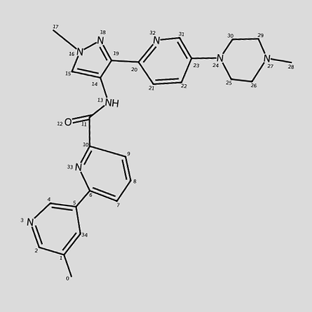 Cc1cncc(-c2cccc(C(=O)Nc3cn(C)nc3-c3ccc(N4CCN(C)CC4)cn3)n2)c1